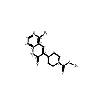 CC(C)(C)OC(=O)N1CCC(c2cc3c(Cl)ncnc3[nH]c2=O)CC1